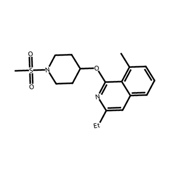 CCc1cc2cccc(C)c2c(OC2CCN(S(C)(=O)=O)CC2)n1